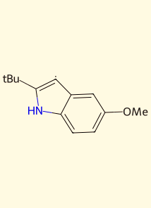 COc1ccc2[nH]c(C(C)(C)C)[c]c2c1